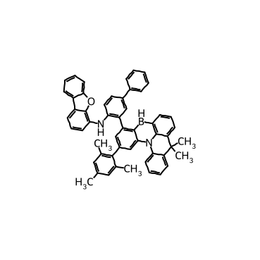 Cc1cc(C)c(-c2cc(-c3cc(-c4ccccc4)ccc3Nc3cccc4c3oc3ccccc34)c3c(c2)N2c4ccccc4C(C)(C)c4cccc(c42)B3)c(C)c1